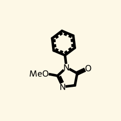 COC1=NCC(=O)N1c1ccccc1